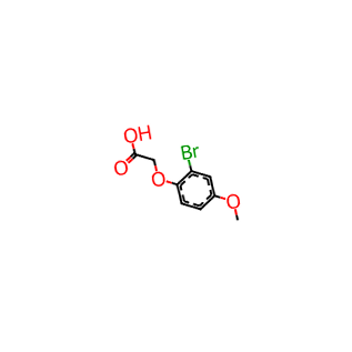 COc1ccc(OCC(=O)O)c(Br)c1